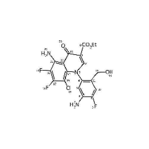 CCOC(=O)c1cn(-c2cc(N)c(F)cc2CO)c2c(Cl)c(F)c(F)c(N)c2c1=O